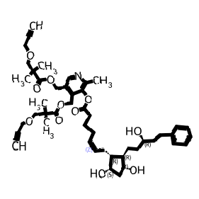 C#CCOCC(C)(C)C(=O)OCc1cnc(C)c(OC(=O)CCC/C=C\C[C@@H]2[C@@H](CC[C@@H](O)CCc3ccccc3)[C@H](O)C[C@@H]2O)c1COC(=O)C(C)(C)COCC#C